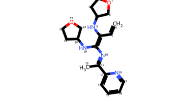 C=C/C(NC1CCOC1)=C(\N=C(/C)c1ccccn1)NC1CCOC1